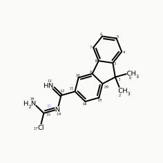 CC1(C)c2ccccc2-c2cc(C(=N)/N=C(\N)Cl)ccc21